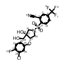 N#Cc1cc(C(F)(F)F)ccc1S(=O)(=O)N1C[C@H](Oc2ccc(F)c(Cl)c2)[C@](O)(CO)C1